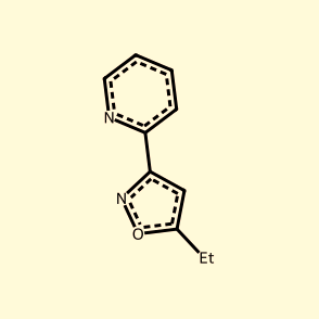 CCc1cc(-c2ccccn2)no1